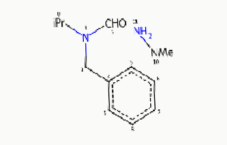 CC(C)N(C=O)Cc1ccccc1.CNN